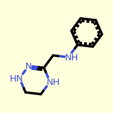 c1ccc(NCC2=NNCCN2)cc1